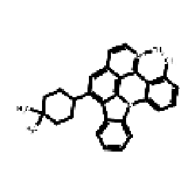 Cc1cccc2c1c1c3c(cc[n+]1C)cc(C1CCC(C)(C)CC1)c1c4ccccc4n2c13